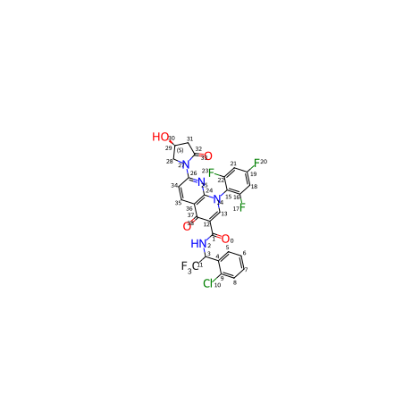 O=C(NC(c1ccccc1Cl)C(F)(F)F)c1cn(-c2c(F)cc(F)cc2F)c2nc(N3C[C@@H](O)CC3=O)ccc2c1=O